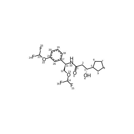 O=C(C[C@@H](O)C1CCCC1)N[C@@H](COC(F)F)c1cccc(OC(F)F)c1